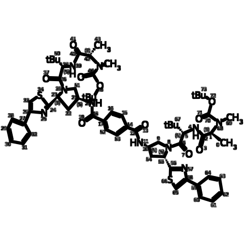 C[C@@H](C(=O)N[C@H](C(=O)N1C[C@@H](NC(=O)c2ccc(C(=O)N[C@H]3C[C@@H](c4nc(-c5ccccc5)cs4)N(C(=O)[C@@H](NC(=O)[C@H](C)N(C)C(=O)OC(C)(C)C)C(C)(C)C)C3)cc2)C[C@H]1c1nc(-c2ccccc2)cs1)C(C)(C)C)N(C)C(=O)OC(C)(C)C